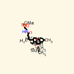 COS(=O)(=O)CCNC(=O)CC[C@@H](C)[C@H]1CC[C@H]2[C@@H]3[C@H](O[Si](C)(C)C(C)(C)C)C[C@@H]4C[C@H](C)CC[C@]4(C)[C@H]3CC[C@]12C